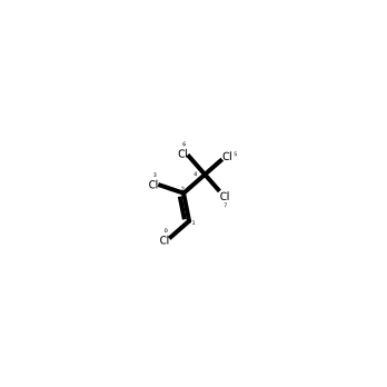 ClC=C(Cl)C(Cl)(Cl)Cl